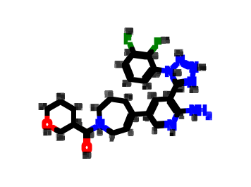 Nc1ncc(C2=CCN(C(=O)C3CCCOC3)CCC2)cc1-c1nnnn1-c1cccc(F)c1F